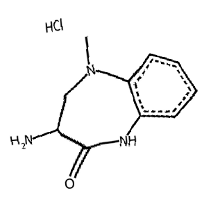 CN1CC(N)C(=O)Nc2ccccc21.Cl